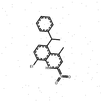 CCc1ccc(C(C)c2ccccc2)c2c(C)[c]c(=S(=O)=O)[nH]c12